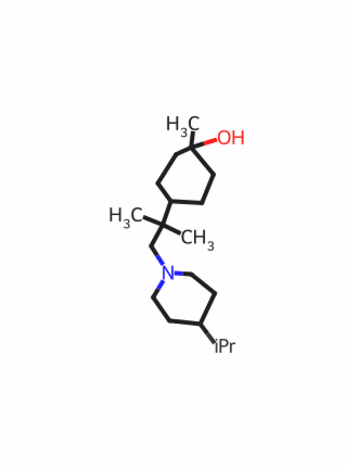 CC(C)C1CCN(CC(C)(C)C2CCC(C)(O)CC2)CC1